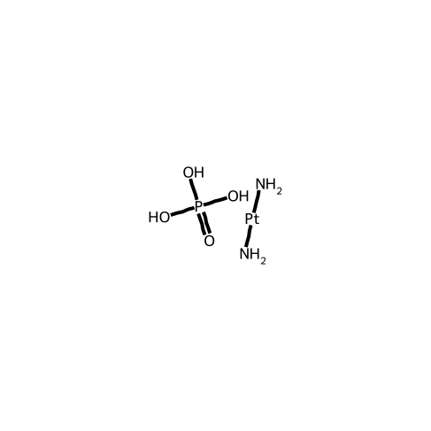 O=P(O)(O)O.[NH2][Pt][NH2]